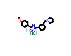 COc1ccc(-c2nc(-c3cccc(CN4CCCC4)c3)n[nH]2)cc1.Cl